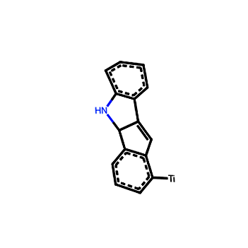 [Ti][c]1cccc2c1C=C1c3ccccc3NC12